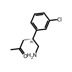 CC(=O)C[C@@H](CN)c1cccc(Cl)c1